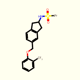 CC(C)S(=O)(=O)NC1Cc2ccc(COc3ccccc3C(F)(F)F)cc2C1